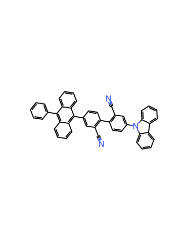 N#Cc1cc(-c2c3ccccc3c(-c3ccccc3)c3ccccc23)ccc1-c1ccc(-n2c3ccccc3c3ccccc32)cc1C#N